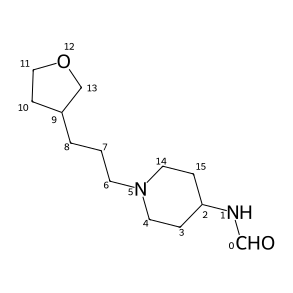 O=CNC1CCN(CCCC2CCOC2)CC1